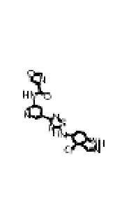 O=C(Nc1cncc(-c2nsc(Nc3ccc4[nH]ncc4c3Cl)n2)c1)c1cocn1